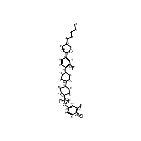 CCCCCC1COC(c2ccc(C3CCC(C4CCC(C(F)(F)Oc5ccc(Cl)c(F)c5)CC4)CC3)c(F)c2)OC1